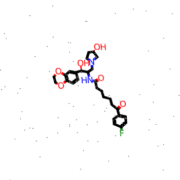 O=C(CCCCCC(=O)c1ccc(F)cc1)NC(CN1CC[C@H](O)C1)[C@H](O)c1ccc2c(c1)OCCO2